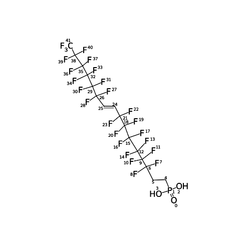 O=P(O)(O)CCC(F)(F)C(F)(F)C(F)(F)C(F)(F)C(F)(F)C(F)(F)C=CC(F)(F)C(F)(F)C(F)(F)C(F)(F)C(F)(F)C(F)(F)F